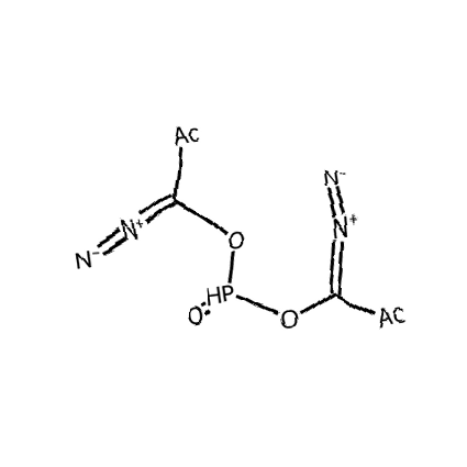 CC(=O)C(=[N+]=[N-])O[PH](=O)OC(=[N+]=[N-])C(C)=O